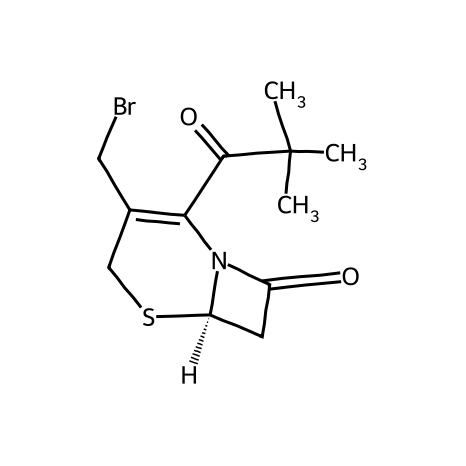 CC(C)(C)C(=O)C1=C(CBr)CS[C@@H]2CC(=O)N12